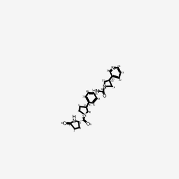 O=C1CC[C@@H](C(=O)N2CCC(c3ccc(NC(=O)N4CC(c5cccnc5)C4)cc3)C2)N1